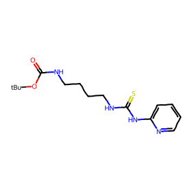 CC(C)(C)OC(=O)NCCCCNC(=S)Nc1ccccn1